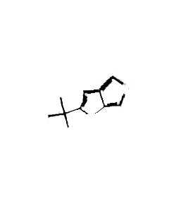 CC(C)(C)c1cc2cscc2s1